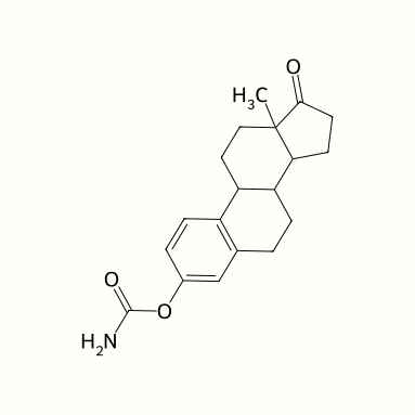 CC12CCC3c4ccc(OC(N)=O)cc4CCC3C1CCC2=O